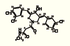 CNC(=O)CC(=O)N1C/C(=C\c2ccc(Cl)c(Cl)c2)C(O)/C(=C/c2ccc(Cl)c(Cl)c2)C1